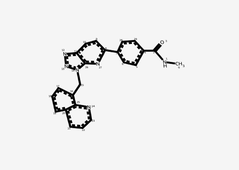 CNC(=O)c1ccc(-c2ccc3nnn(Cc4cccc5cccnc45)c3n2)cc1